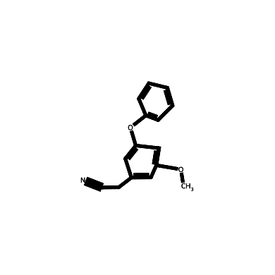 COc1cc([CH]C#N)cc(Oc2ccccc2)c1